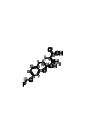 N[C@@H](C[C@@H](Cc1ccc(OCF)cc1)C(=O)O)C(=O)O